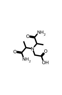 CC(C(N)=O)N(CC(=O)O)C(C)C(N)=O